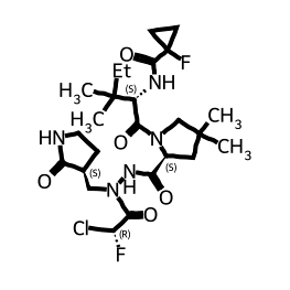 CCC(C)(C)[C@H](NC(=O)C1(F)CC1)C(=O)N1CC(C)(C)C[C@H]1C(=O)NN(C[C@@H]1CCNC1=O)C(=O)[C@H](F)Cl